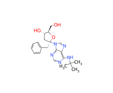 CC(C)(C)Nc1ncnc2c1ncn2[C@@]1(Cc2ccccc2)C[C@H](O)[C@@H](CO)O1